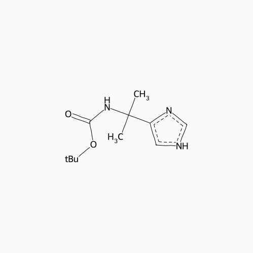 CC(C)(C)OC(=O)NC(C)(C)c1c[nH]cn1